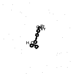 CC1C=C(C#Cc2ccc(-c3ccc(C(=O)N(C(C)C)C(C)C)cc3)cc2)C=CC1N(c1ccccc1)c1ccccc1